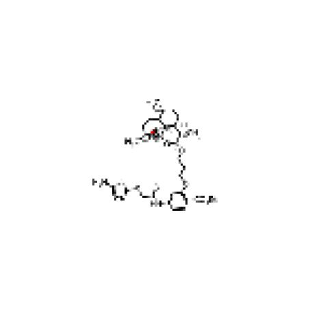 CCOC(=O)c1ccc(NC(=O)CSc2nnc(N)s2)cc1OCCCO[C@H]1O[C@@H]2O[C@@]3(C)CCC4[C@H](C)CC[C@@H]([C@H]1C)[C@]42OO3